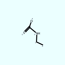 CCNC([O])=S